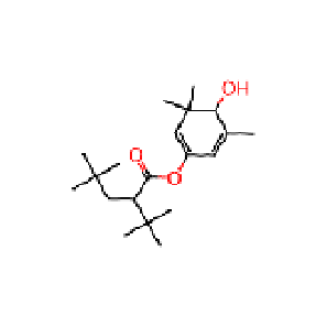 CC1=CC(OC(=O)C(CC(C)(C)C)C(C)(C)C)=CC(C)(C)C1O